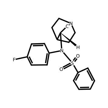 O=S(=O)(c1ccccc1)N(c1ccc(F)cc1)[C@H]1CN2CCC1CC2